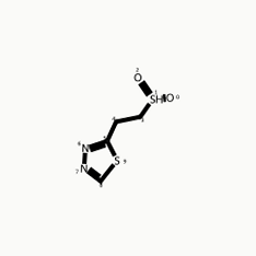 O=[SH](=O)CCc1nncs1